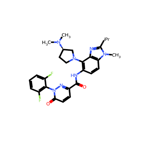 CC(C)c1nc2c(N3CC[C@@H](N(C)C)C3)c(NC(=O)c3ccc(=O)n(-c4c(F)cccc4F)n3)ccc2n1C